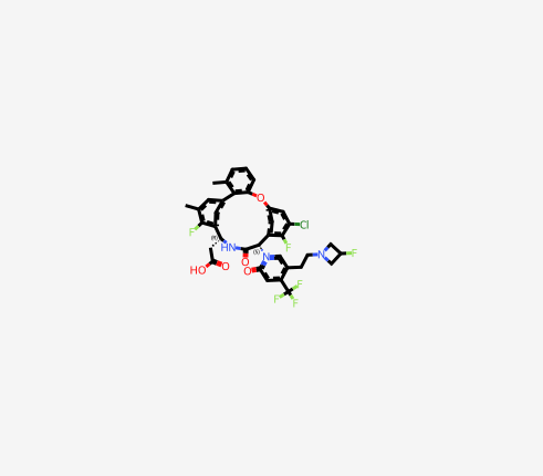 Cc1cc2cc(c1F)[C@@H](CC(=O)O)NC(=O)[C@@H](n1cc(CCN3CC(F)C3)c(C(F)(F)F)cc1=O)c1cc(cc(Cl)c1F)Oc1cccc(C)c1-2